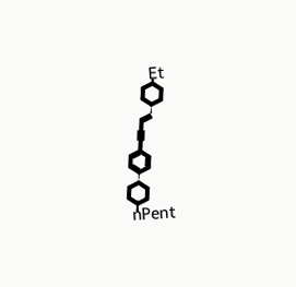 CCCCC[C@H]1CC[C@H](c2ccc(C#CC=C[C@H]3CC[C@H](CC)CC3)cc2)CC1